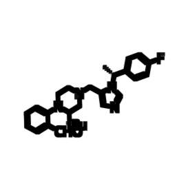 C[C@H](c1ccc(F)cc1)n1cncc1CN1CCN(c2ccccc2C=O)C(C(C)(C)C)C1